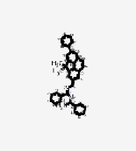 CC1(C)c2cc(C/N=C(\N=C(/N)c3ccccc3)c3ccccc3)cc3ccc4cc(-c5ccccc5)cc1c4c23